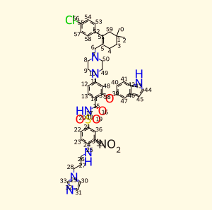 CC1(C)CCC(CN2CCN(c3ccc(C(=O)NS(=O)(=O)c4ccc(NCCCn5ccnc5)c([N+](=O)[O-])c4)c(Oc4ccc5[nH]ccc5c4)c3)CC2)=C(c2ccc(Cl)cc2)C1